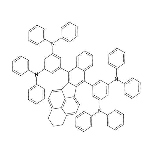 c1ccc(N(c2ccccc2)c2cc(-c3c4c(c(-c5cc(N(c6ccccc6)c6ccccc6)cc(N(c6ccccc6)c6ccccc6)c5)c5ccccc35)-c3ccc5c6c(ccc-4c36)CCC5)cc(N(c3ccccc3)c3ccccc3)c2)cc1